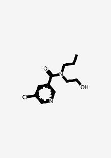 CCCN(CCO)C(=O)c1cncc(Cl)c1